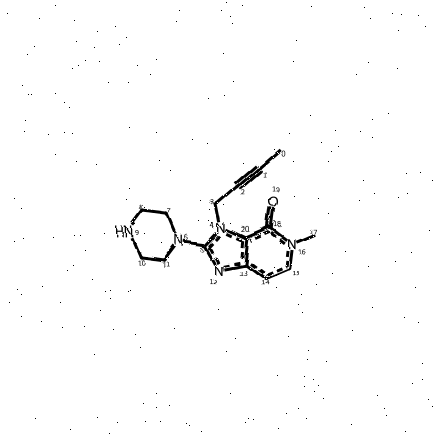 CC#CCn1c(N2CCNCC2)nc2ccn(C)c(=O)c21